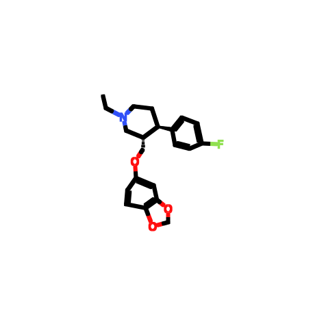 CCN1CC[C@@H](c2ccc(F)cc2)[C@H](COc2ccc3c(c2)OCO3)C1